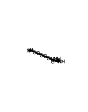 [N-]=[N+]=NCCOCCOCCOCCOCCOCCNC(=O)[C@@H](N)Cc1c[nH]cn1